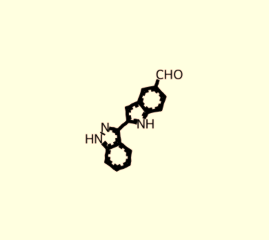 O=Cc1ccc2[nH]c(-c3n[nH]c4ccccc34)cc2c1